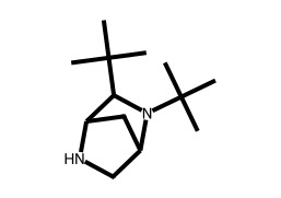 CC(C)(C)C1C2CC(CN2)N1C(C)(C)C